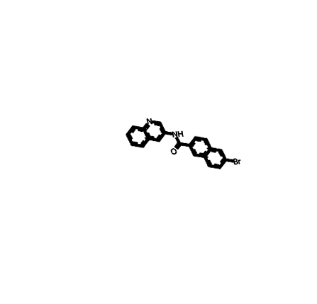 O=C(Nc1cnc2ccccc2c1)c1ccc2cc(Br)ccc2c1